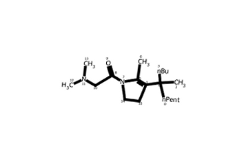 CCCCCC(C)(CCCC)C1=C(C)N(C(=O)CN(C)C)CC1